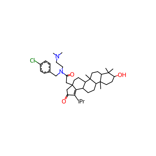 CC(C)C1=C2C3CCC4C(C)(CCC5C(C)(C)C(O)CCC54C)C3CCC2(CC(=O)N(CCN(C)C)Cc2ccc(Cl)cc2)CC1=O